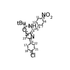 CC(C)(C)C(=O)N[C@@H](Cc1ccc([N+](=O)[O-])cc1)c1nc(-c2ccc(Cl)cc2)cs1